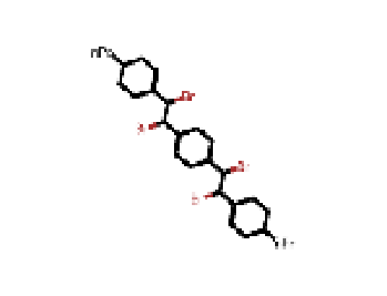 CCCC1CCC(C(Br)C(Br)C2CCC(C(Br)C(Br)C3CCC(CCC)CC3)CC2)CC1